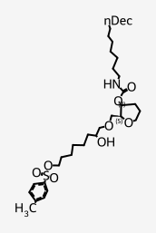 CCCCCCCCCCCCCCCCCNC(=O)O[C@@H]1CCCO[C@H]1COCC(O)CCCCCCOS(=O)(=O)c1ccc(C)cc1